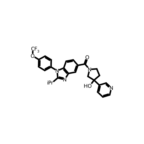 CC(C)c1nc2cc(C(=O)N3CCC(O)(c4cccnc4)C3)ccc2n1-c1ccc(OC(F)(F)F)cc1